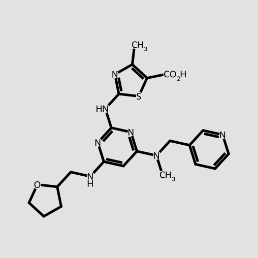 Cc1nc(Nc2nc(NCC3CCCO3)cc(N(C)Cc3cccnc3)n2)sc1C(=O)O